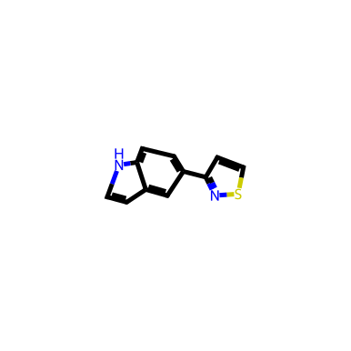 c1cc2cc(-c3ccsn3)ccc2[nH]1